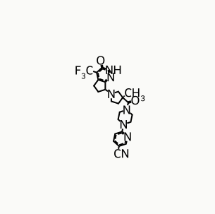 C[C@@]1(C(=O)N2CCN(c3ccc(C#N)cn3)CC2)CCN(C2CCc3c2n[nH]c(=O)c3C(F)(F)F)C1